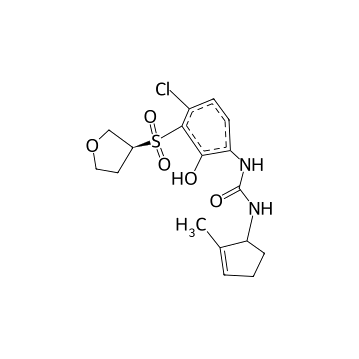 CC1=CCCC1NC(=O)Nc1ccc(Cl)c(S(=O)(=O)[C@H]2CCOC2)c1O